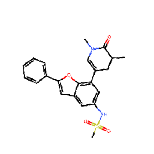 CC1CC(c2cc(NS(C)(=O)=O)cc3cc(-c4ccccc4)oc23)=CN(C)C1=O